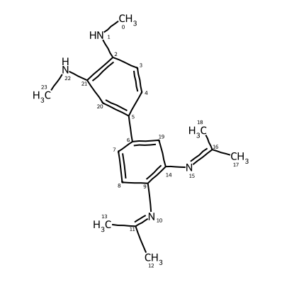 CNc1ccc(-c2ccc(N=C(C)C)c(N=C(C)C)c2)cc1NC